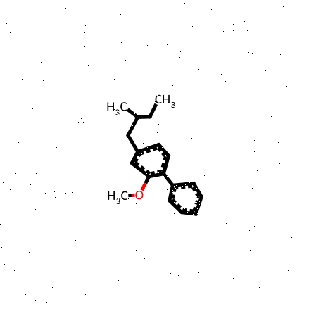 CCC(C)Cc1ccc(-c2ccccc2)c(OC)c1